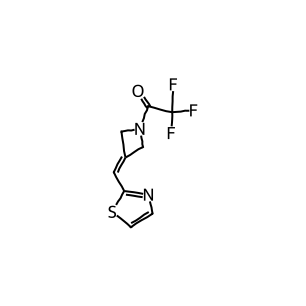 O=C(N1CC(=Cc2nccs2)C1)C(F)(F)F